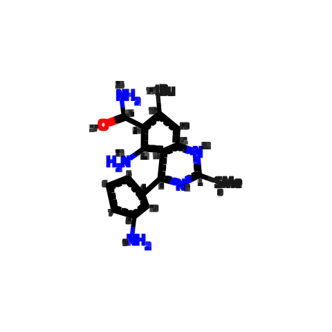 CSc1nc(-c2cccc(N)c2)c2c(N)c(C(N)=O)c(C(C)(C)C)cc2n1